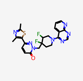 Cc1nc(C)c(-c2ccc(=O)n(CC3(F)CCN(c4ncnc5ncccc45)CC3F)n2)s1